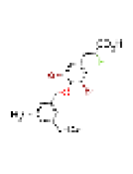 CC(=O)Nc1cc(C)cc(COc2c(Br)cc(CC(F)C(=O)O)cc2Br)c1